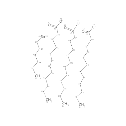 CCCCCCCCCCCC(=O)[O-].CCCCCCCCCCCC(=O)[O-].CCCCCCCCCCCC(=O)[O-].CCCCC[CH2][Sn+3]